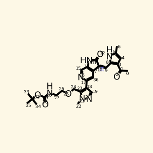 CC(=O)c1cc(C)[nH]c1/C=C1\C(=O)Nc2cnc(-c3cnn(C)c3COCCNC(=O)OC(C)(C)C)cc21